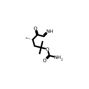 C[C@@H](CC(C)(C)OC(N)=O)C(=O)C=N